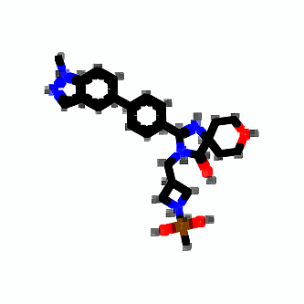 Cn1ncc2cc(-c3ccc(C4=NC5(CCOCC5)C(=O)N4CC4CN(S(C)(=O)=O)C4)cc3)ccc21